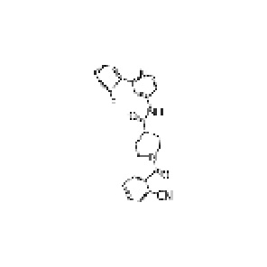 N#Cc1ccccc1C(=O)N1CCC(C(=O)Nc2ccnc(-c3ccccc3F)c2)CC1